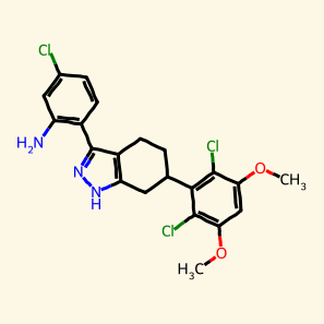 COc1cc(OC)c(Cl)c(C2CCc3c(-c4ccc(Cl)cc4N)n[nH]c3C2)c1Cl